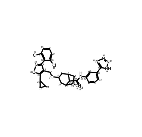 C[C@@H]1CC2CC(OCc3c(-c4c(Cl)cccc4Cl)noc3C3CC3)CC1C2C(=O)Nc1cccc(-c2nnn[nH]2)c1